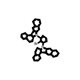 Brc1c(-n2c3cc4ccccc4cc3c3c4ccccc4ccc32)cccc1-n1c2cc3ccccc3cc2c2c3ccccc3ccc21